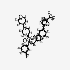 O=S(=O)(N1CCN(C2CCOCC2)CC1)N(Cc1cn2ccc(-c3nnc(C(F)F)o3)cc2n1)c1cccc(F)c1